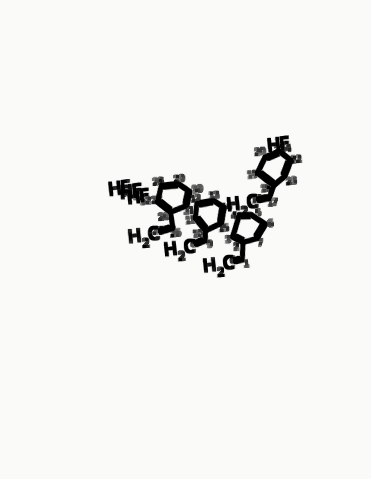 C=Cc1ccccc1.C=Cc1ccccc1.C=Cc1ccccc1.C=Cc1ccccc1.F.F.F.F